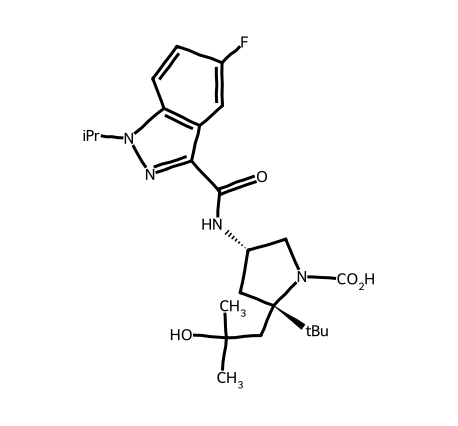 CC(C)n1nc(C(=O)N[C@@H]2CN(C(=O)O)[C@@](CC(C)(C)O)(C(C)(C)C)C2)c2cc(F)ccc21